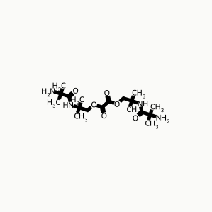 CC(C)(COC(=O)C(=O)OCC(C)(C)NC(=O)C(C)(C)N)NC(=O)C(C)(C)N